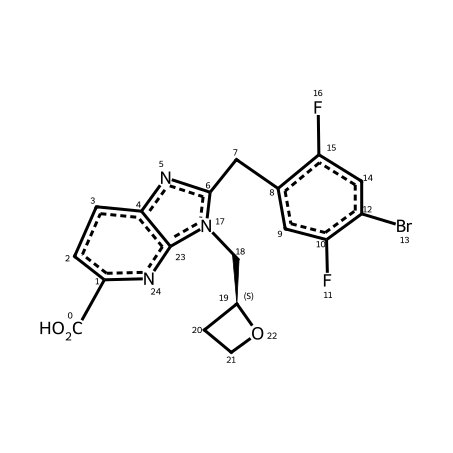 O=C(O)c1ccc2nc(Cc3cc(F)c(Br)cc3F)n(C[C@@H]3CCO3)c2n1